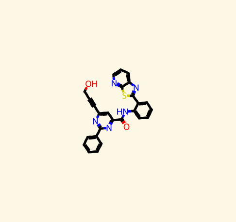 O=C(Nc1ccccc1-c1nc2cccnc2s1)c1cc(C#CCO)nc(-c2ccccc2)n1